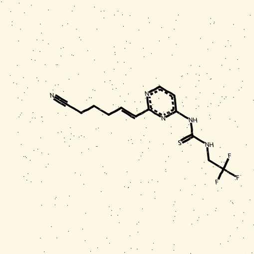 N#CCCCC=Cc1nccc(NC(=S)NCC(F)(F)F)n1